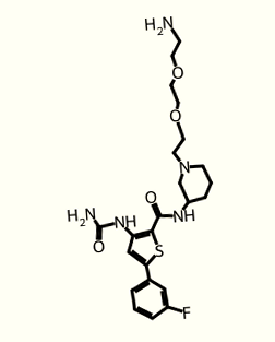 NCCOCCOCCN1CCCC(NC(=O)c2sc(-c3cccc(F)c3)cc2NC(N)=O)C1